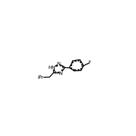 CC(C)Cc1nc(-c2ccc(F)cc2)n[nH]1